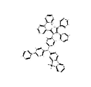 CC1(C)c2ccccc2-c2ccc(N(c3ccc(-c4ccccc4)cc3)c3ccc(-c4c(-c5ccccc5)c(-c5ccccc5)n5c6ccccc6c6ccccc6c45)cc3)cc21